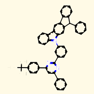 CC(C)(C)c1ccc(-c2cc(-c3ccccc3)nc(-c3cccc(-n4c5ccccc5c5cc6c(cc54)C(c4ccccc4)c4ccccc4-6)c3)n2)cc1